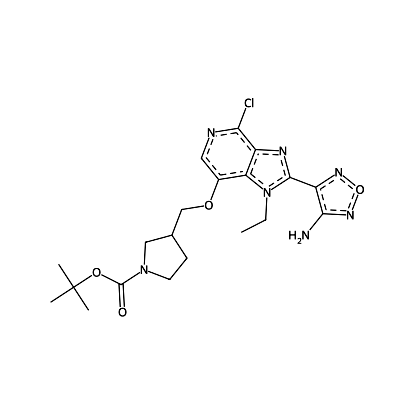 CCn1c(-c2nonc2N)nc2c(Cl)ncc(OCC3CCN(C(=O)OC(C)(C)C)C3)c21